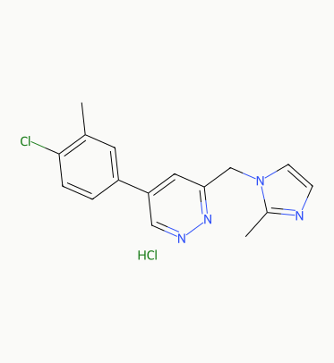 Cc1cc(-c2cnnc(Cn3ccnc3C)c2)ccc1Cl.Cl